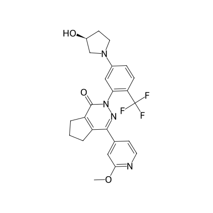 COc1cc(-c2nn(-c3cc(N4CC[C@H](O)C4)ccc3C(F)(F)F)c(=O)c3c2CCC3)ccn1